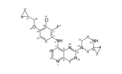 Fc1c(Nc2ncnc3cnc(N4CCNC5(CC5)C4)nc23)ccc(OCC2CC2)c1Cl